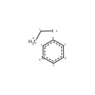 CCI.c1ccncc1